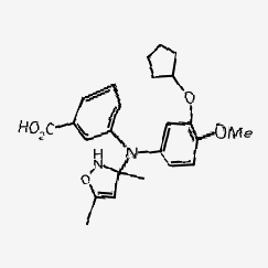 COc1ccc(N(c2cccc(C(=O)O)c2)C2(C)C=C(C)ON2)cc1OC1CCCC1